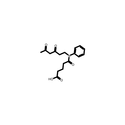 CC(=O)CC(=O)CCN(C(=O)CCCC(=O)O)c1ccccc1